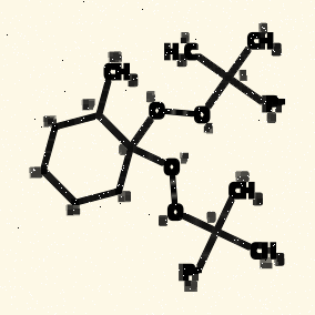 CC(C)C(C)(C)OOC1(OOC(C)(C)C(C)C)CCCCC1C